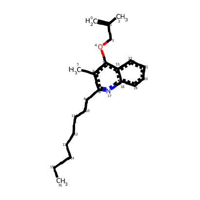 C=C(C)COc1c(C)c(CCCCCCCC)nc2ccccc12